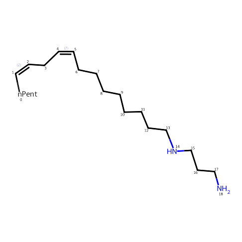 CCCCC/C=C\C/C=C\CCCCCCCCNCCCN